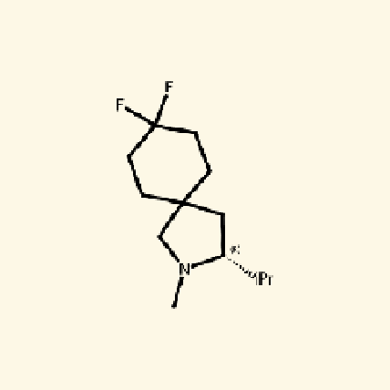 CC(C)[C@H]1CC2(CCC(F)(F)CC2)CN1C